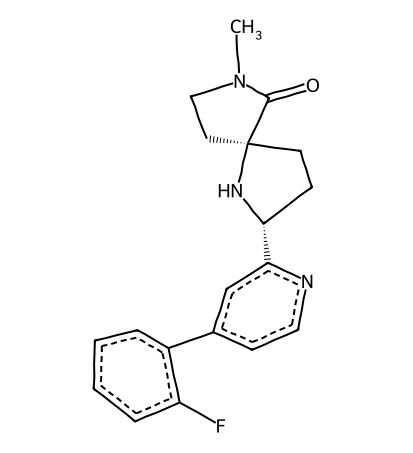 CN1CC[C@@]2(CC[C@H](c3cc(-c4ccccc4F)ccn3)N2)C1=O